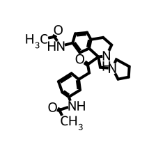 CC(=O)Nc1cccc(CC(=O)C2(CN3CCCC3)NCCc3ccc(NC(C)=O)cc32)c1